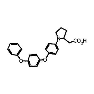 O=C(O)CC1CCCN1c1ccc(Oc2ccc(Oc3ccccc3)cc2)cc1